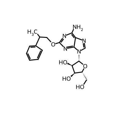 CC(COc1nc(N)c2ncn([C@@H]3O[C@H](CO)[C@@H](O)[C@H]3O)c2n1)c1ccccc1